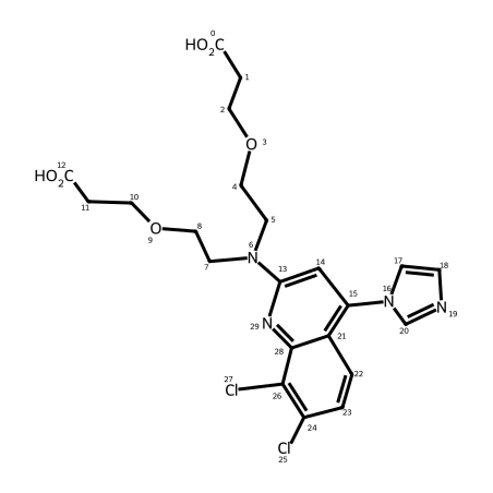 O=C(O)CCOCCN(CCOCCC(=O)O)c1cc(-n2ccnc2)c2ccc(Cl)c(Cl)c2n1